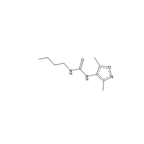 CCCCNC(=O)Nc1c(C)noc1C